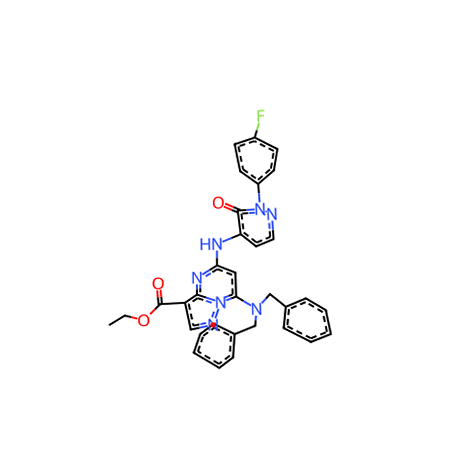 CCOC(=O)c1cnn2c(N(Cc3ccccc3)Cc3ccccc3)cc(Nc3ccnn(-c4ccc(F)cc4)c3=O)nc12